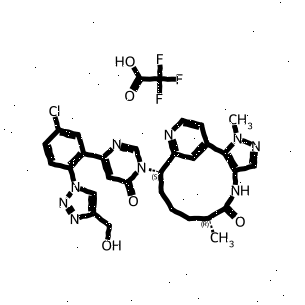 C[C@@H]1CCC[C@H](n2cnc(-c3cc(Cl)ccc3-n3cc(CO)nn3)cc2=O)c2cc(ccn2)-c2c(cnn2C)NC1=O.O=C(O)C(F)(F)F